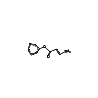 N/C=C/C(=O)Oc1ccccc1